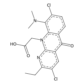 CCc1nc2c(cc1Cl)c(=O)c1ccc(Cl)c(N(C)C)c1n2CC(=O)O